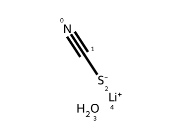 N#C[S-].O.[Li+]